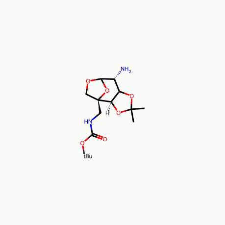 CC(C)(C)OC(=O)NC[C@@]12COC(O1)[C@H](N)C1OC(C)(C)O[C@H]12